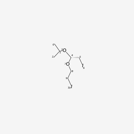 CC(C)O[C@H](CI)OCCI